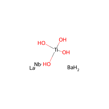 [BaH2].[La].[Nb].[OH][Ti]([OH])([OH])[OH]